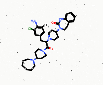 Nc1c(Cl)cc(CC(C(=O)N2CCC(N3CCCCCC3)CC2)N2CCC(N3CCc4ccccc4NC3=O)CC2)cc1C(F)(F)F